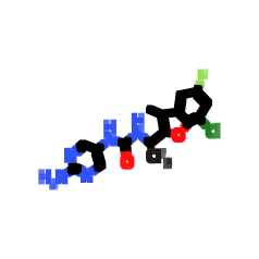 Cc1c([C@H](NC(=O)Nc2cnc(N)nc2)C(F)(F)F)oc2c(Cl)cc(F)cc12